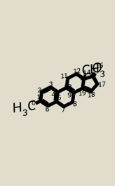 Cc1ccc2c(c1)CCC1=C2CC[C@]2(C)C(=O)CC=C12